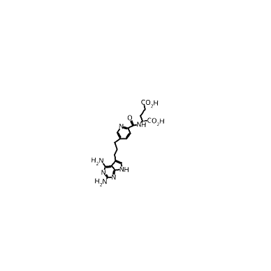 Nc1nc(N)c2c(CCCc3ccc(C(=O)N[C@@H](CCC(=O)O)C(=O)O)nc3)c[nH]c2n1